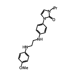 COc1ccc(NCCNc2ccc(-n3ccn(C(C)C)c3=O)cc2)cc1